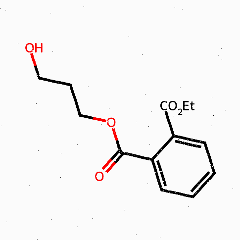 CCOC(=O)c1ccccc1C(=O)OCCCO